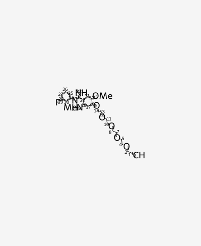 C#CCOCCOCCOCCOCCOC1C=C(NC)C(C(=N)Nc2cccc(F)c2)=CC1OC